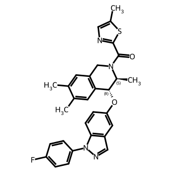 Cc1cnc(C(=O)N2Cc3cc(C)c(C)cc3[C@@H](Oc3ccc4c(cnn4-c4ccc(F)cc4)c3)[C@@H]2C)s1